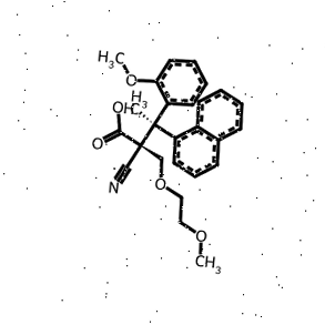 COCCOC[C@@](C#N)(C(=O)O)[C@@](C)(c1ccccc1OC)c1cccc2ccccc12